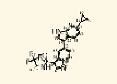 C[C@@H](NC(=O)c1cnn2ccc(-c3c[nH]c4nc(C5CC5)ccc34)cc12)C(F)(F)F